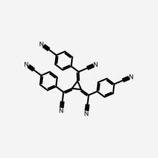 N#CC(=C1C(=C(C#N)c2ccc(C#N)cc2)C1=C(C#N)c1ccc(C#N)cc1)c1ccc(C#N)cc1